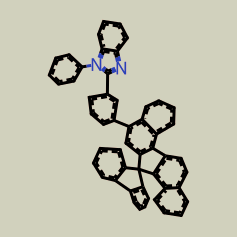 c1ccc(-n2c(-c3cccc(-c4cc5c(c6ccccc46)-c4ccc6ccccc6c4C54c5ccccc5-c5ccccc54)c3)nc3ccccc32)cc1